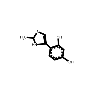 CC1NC(c2ccc(O)cc2O)=CS1